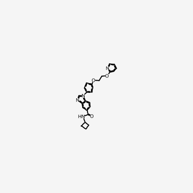 O=C(NC1CCC1)c1ccc2c(c1)ncn2-c1ccc(OCCOc2ccccn2)cc1